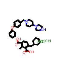 Cc1c(C(=O)O)ccc(CC2CCCCC2)c1C(=O)O.Cl.Cl.Cl.c1ccc(Oc2ccc(CN3CCC(N4CCNCC4)CC3)cc2)cc1